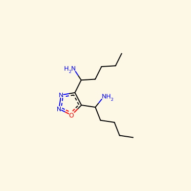 CCCCC(N)c1nnoc1C(N)CCCC